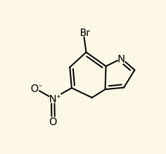 O=[N+]([O-])C1=CC(Br)=C2N=CC=C2C1